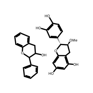 CO[C@H]1Cc2c(O)cc(O)cc2O[C@@H]1c1ccc(O)c(O)c1.OC1Cc2ccccc2OC1c1ccccc1